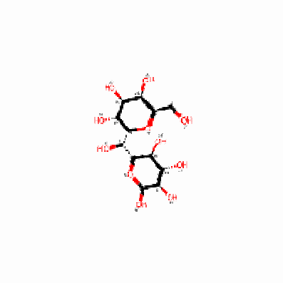 OC[C@H]1O[C@H](C(O)[C@H]2OC(O)[C@H](O)[C@@H](O)[C@@H]2O)[C@H](O)[C@@H](O)[C@H]1O